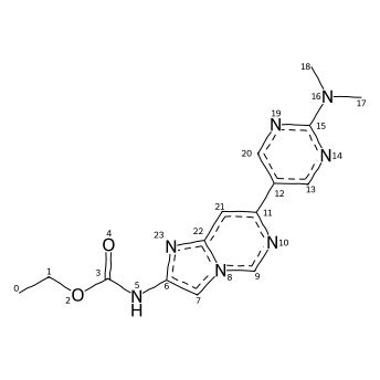 CCOC(=O)Nc1cn2cnc(-c3cnc(N(C)C)nc3)cc2n1